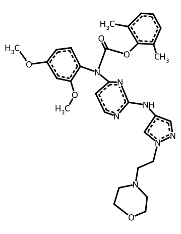 COc1ccc(N(C(=O)Oc2c(C)cccc2C)c2ccnc(Nc3cnn(CCN4CCOCC4)c3)n2)c(OC)c1